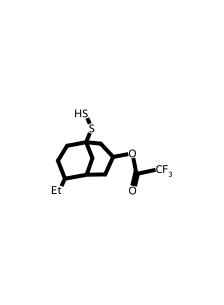 CCC1CCC2(SS)CC(OC(=O)C(F)(F)F)CC1C2